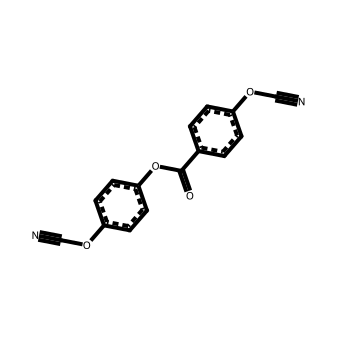 N#COc1ccc(OC(=O)c2ccc(OC#N)cc2)cc1